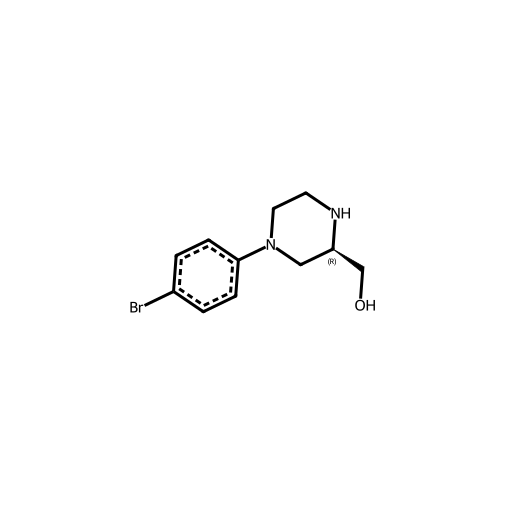 OC[C@H]1CN(c2ccc(Br)cc2)CCN1